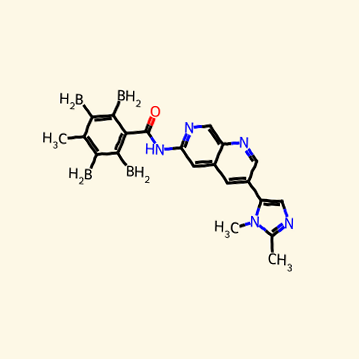 Bc1c(B)c(C(=O)Nc2cc3cc(-c4cnc(C)n4C)cnc3cn2)c(B)c(B)c1C